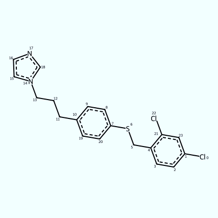 Clc1ccc(CSc2ccc(CCCn3ccnc3)cc2)c(Cl)c1